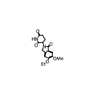 CCOc1cc2c(cc1OC)C(=O)N(C1CCC(=O)NC1=O)C2